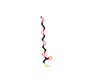 COCCOCCOCCOC(=O)CS